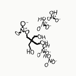 O=[N+]([O-])O.O=[N+]([O-])O.O=[N+]([O-])O.O=[N+]([O-])O.O=[N+]([O-])OCC(CO)(CO)CO